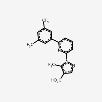 O=C(O)c1cnn(-c2cccc(-c3cc(C(F)(F)F)cc(C(F)(F)F)c3)n2)c1C(F)(F)F